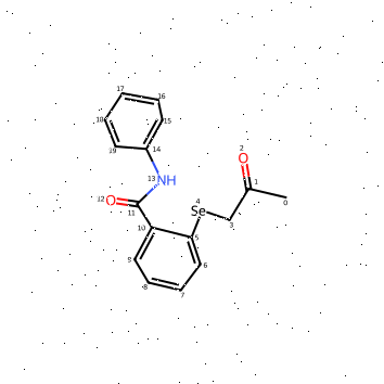 CC(=O)C[Se]c1ccccc1C(=O)Nc1ccccc1